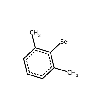 Cc1cccc(C)c1[Se]